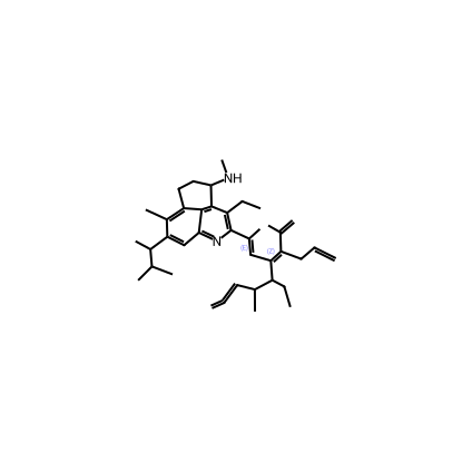 C=C=CC(C)C(CC)C(/C=C(\C)c1nc2cc(C(C)C(C)C)c(C)c3c2c(c1CC)C(NC)CC3)=C(\CC=C)C(=C)C